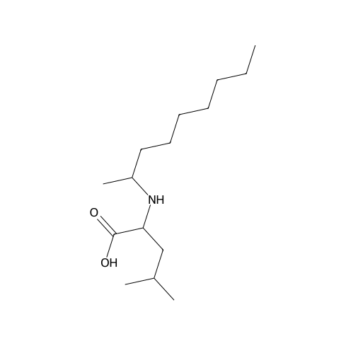 CCCCCCCC(C)NC(CC(C)C)C(=O)O